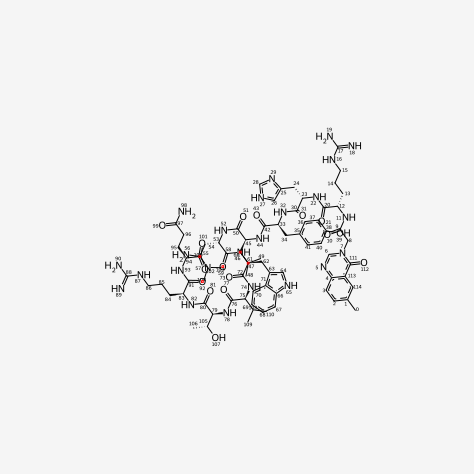 Cc1ccc2ncn(CC(=O)N[C@@H](CCCNC(=N)N)C(=O)N[C@@H](Cc3c[nH]cn3)C(=O)N[C@@H](Cc3ccc(O)cc3)C(=O)N[C@@H](CC(C)C)C(=O)N[C@@H](CC(N)=O)C(=O)N[C@@H](Cc3c[nH]c4ccccc34)C(=O)N[C@H](C(=O)N[C@H](C(=O)N[C@@H](CCCNC(=N)N)C(=O)N[C@@H](CCC(N)=O)C(=O)N(C)C)[C@@H](C)O)C(C)C)c(=O)c2c1